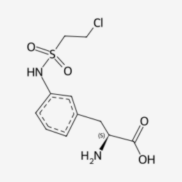 N[C@@H](Cc1cccc(NS(=O)(=O)CCCl)c1)C(=O)O